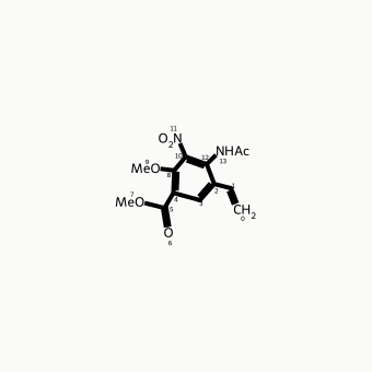 C=Cc1cc(C(=O)OC)c(OC)c([N+](=O)[O-])c1NC(C)=O